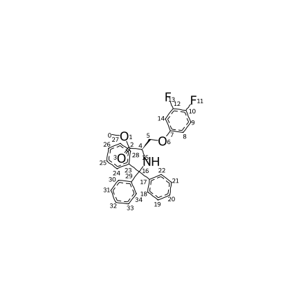 COC(=O)[C@@H](COc1ccc(F)c(F)c1)NC(c1ccccc1)(c1ccccc1)c1ccccc1